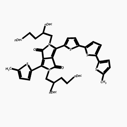 CCCCCCCCCCCCC(CCCCCCCCCC)CN1C(=O)C2=C(c3ccc(-c4ccc(-c5ccc(C)s5)s4)s3)N(CC(CCCCCCCCCC)CCCCCCCCCCCC)C(=O)C2=C1c1ccc(C)s1